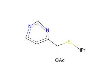 CC(=O)OC(SC(C)C)c1ccncn1